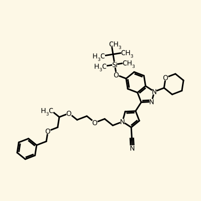 CC(COCc1ccccc1)OCCOCCn1cc(-c2nn(C3CCCCO3)c3ccc(O[Si](C)(C)C(C)(C)C)cc23)cc1C#N